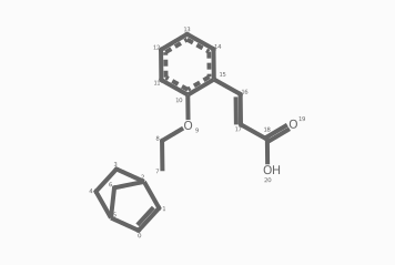 C1=CC2CCC1C2.CCOc1ccccc1C=CC(=O)O